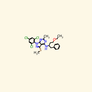 CCOCCC(Cc1ccccc1)Nc1nc(C)nc2c1c(SC)nn2-c1c(Cl)cc(Cl)cc1Cl